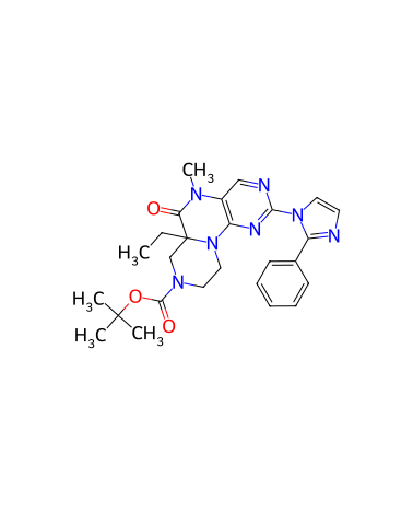 CCC12CN(C(=O)OC(C)(C)C)CCN1c1nc(-n3ccnc3-c3ccccc3)ncc1N(C)C2=O